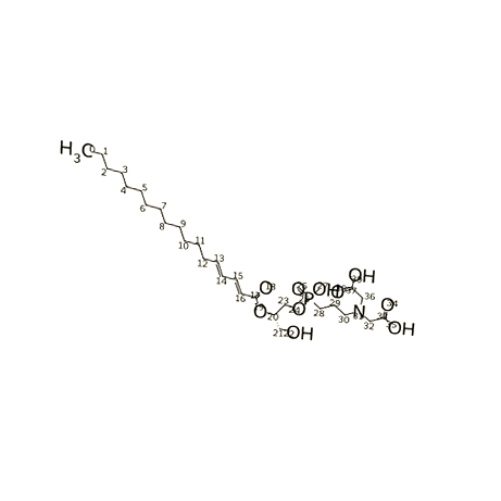 CCCCCCCCCCCCCC=CC=CC(=O)O[C@@H](CO)COP(=O)(O)CCCN(CC(=O)O)CC(=O)O